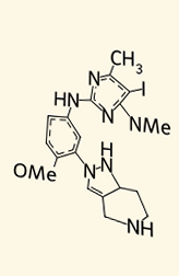 CNc1nc(Nc2ccc(OC)c(N3C=C4CNCCC4N3)c2)nc(C)c1I